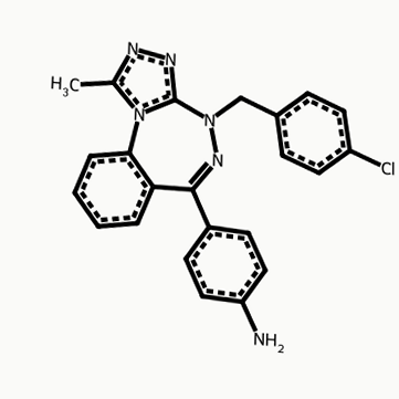 Cc1nnc2n1-c1ccccc1C(c1ccc(N)cc1)=NN2Cc1ccc(Cl)cc1